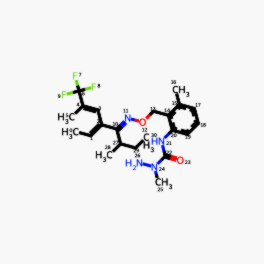 C/C=C(\C=C(/C)C(F)(F)F)C(=N/OCc1c(C)cccc1NC(=O)N(C)N)/C(C)CC